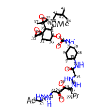 COC1C(OC(=O)N[C@H]2CC[C@H](NC(=O)CNN[C@H](C(=O)C(=O)CNNCC(C)=O)C(C)C)CC2)CC[C@]2(CO2)C1C1(C)O[C@@H]1CC=C(C)C